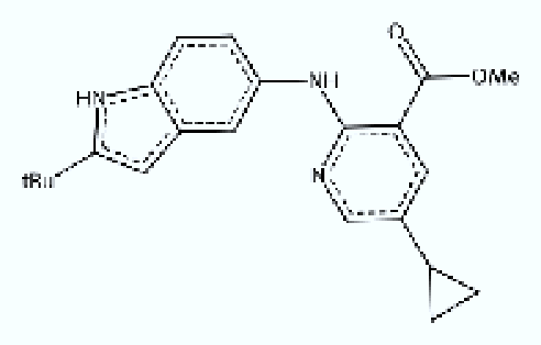 COC(=O)c1cc(C2CC2)cnc1Nc1ccc2[nH]c(C(C)(C)C)cc2c1